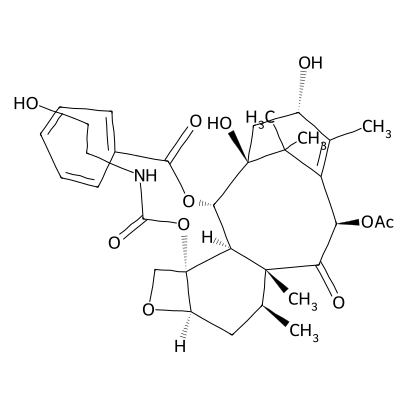 CC(=O)O[C@H]1C(=O)[C@@]2(C)[C@H]([C@H](OC(=O)c3ccccc3)[C@]3(O)C[C@H](O)C(C)=C1C3(C)C)[C@]1(OC(=O)NCCO)CO[C@@H]1C[C@@H]2C